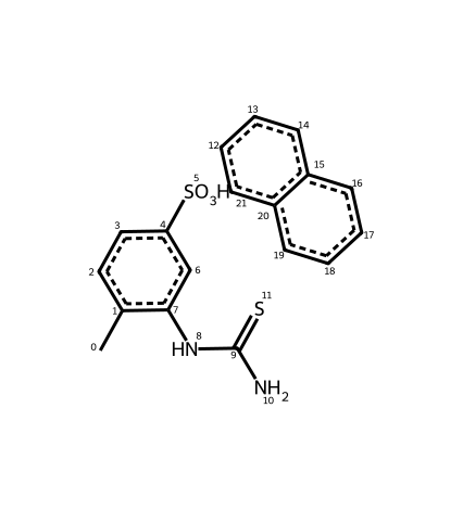 Cc1ccc(S(=O)(=O)O)cc1NC(N)=S.c1ccc2ccccc2c1